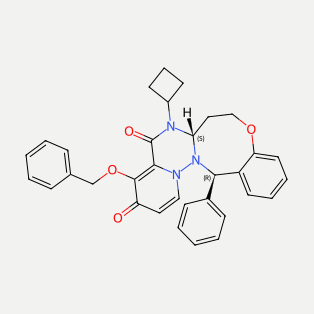 O=C1c2c(OCc3ccccc3)c(=O)ccn2N2[C@H](c3ccccc3)c3ccccc3OCC[C@H]2N1C1CCC1